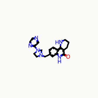 O=c1[nH]c2cc(CN3CCN(c4cnccn4)C3)ccc2c2c1CCCN2